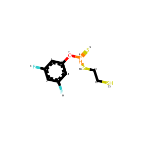 Fc1cc(F)cc(O[PH](=S)SCCS)c1